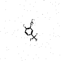 [C-]#[N+]c1cc(C(F)(F)F)ccc1F